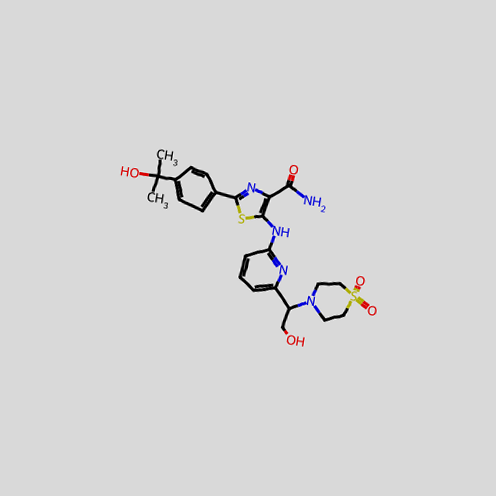 CC(C)(O)c1ccc(-c2nc(C(N)=O)c(Nc3cccc(C(CO)N4CCS(=O)(=O)CC4)n3)s2)cc1